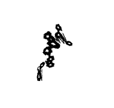 c1ccc(-c2cc(-n3c4ccccc4c4cc(-c5cccc(-c6ccc7c8ccccc8n(-c8ccc9sc%10cccnc%10c9c8)c7c6)c5)ccc43)nc(-c3ccccc3)n2)cc1